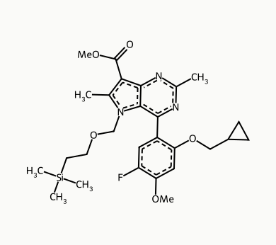 COC(=O)c1c(C)n(COCC[Si](C)(C)C)c2c(-c3cc(F)c(OC)cc3OCC3CC3)nc(C)nc12